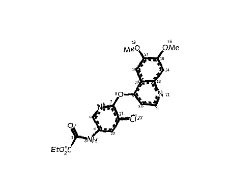 CCOC(=O)C(=O)Nc1cnc(Oc2ccnc3cc(OC)c(OC)cc23)c(Cl)c1